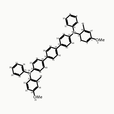 COC1=CCC(N(c2ccccc2)c2ccc(-c3ccc(-c4ccc(N(c5ccccc5)c5ccc(OC)cc5C)cc4)cc3)cc2)C(C)=C1